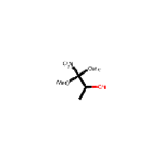 COC(OC)(C(C)O)[N+](=O)[O-]